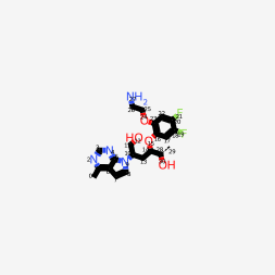 Cc1ncnc2c1ccn2C(CO)CC(Oc1cc(F)c(F)cc1OCCN)[C@H](C)O